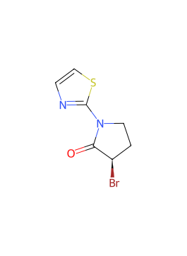 O=C1[C@H](Br)CCN1c1nccs1